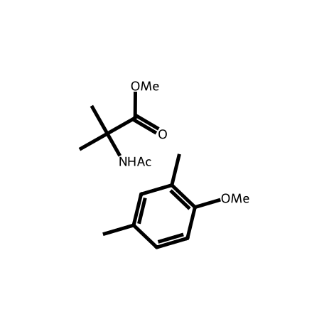 COC(=O)C(C)(C)NC(C)=O.COc1ccc(C)cc1C